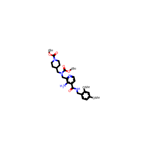 COc1ccc(CNC(=O)c2ccnc(CN(CC3CCN(C(=O)OC(C)(C)C)CC3)C(=O)OC(C)(C)C)c2N)c(OC)c1